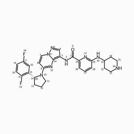 O=C(Nc1cnn2ccc(N3CCC[C@@H]3c3cc(F)ccc3F)nc12)c1cccc(NC2CCNCC2)n1